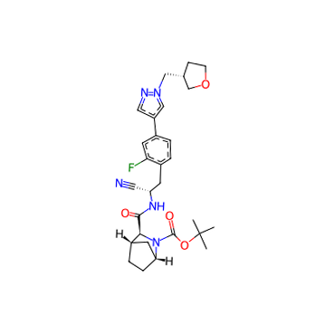 CC(C)(C)OC(=O)N1[C@@H]2CC[C@@H](C2)[C@H]1C(=O)N[C@H](C#N)Cc1ccc(-c2cnn(C[C@@H]3CCOC3)c2)cc1F